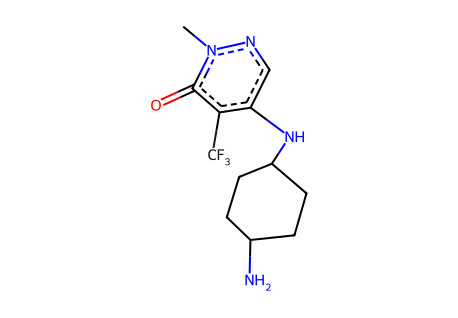 Cn1ncc(NC2CCC(N)CC2)c(C(F)(F)F)c1=O